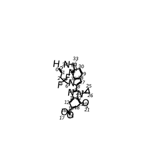 C=CCC(F)(F)Cn1c(-c2nc3cc(C(=O)OC)cc(OC)c3n2C2CC2)cc2ccc([C@@H](C)N)nc21